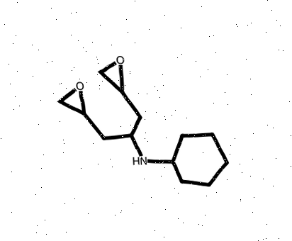 C1CCC(NC(CC2CO2)CC2CO2)CC1